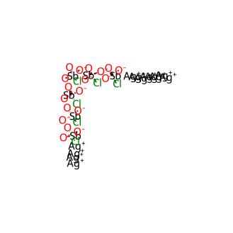 [Ag+].[Ag+].[Ag+].[Ag+].[Ag+].[Ag+].[Ag+].[Ag+].[Ag+].[Ag+].[Ag+].[Ag+].[O]=[Sb]([O-])([O-])[Cl].[O]=[Sb]([O-])([O-])[Cl].[O]=[Sb]([O-])([O-])[Cl].[O]=[Sb]([O-])([O-])[Cl].[O]=[Sb]([O-])([O-])[Cl].[O]=[Sb]([O-])([O-])[Cl]